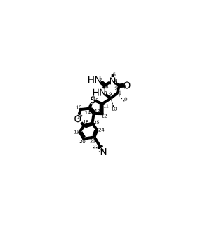 C[C@H]1C(=O)N(C)C(=N)N[C@]1(C)c1cc2c(s1)COc1ccc(C#N)cc1-2